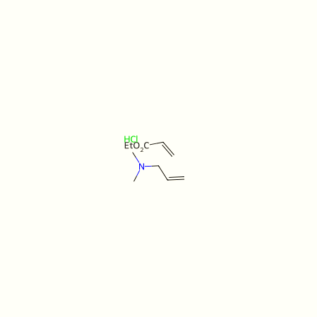 C=CC(=O)OCC.C=CCN(C)C.Cl